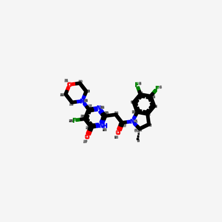 C[C@H]1Cc2cc(F)c(F)cc2N1C(=O)Cc1nc(N2CCOCC2)c(F)c(=O)[nH]1